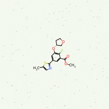 COC(=O)c1cc(-c2ncc(C)s2)cc(O[C@@H]2CCOC2)c1F